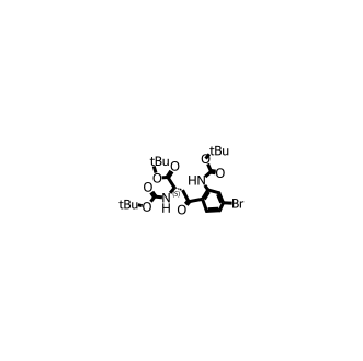 CC(C)(C)OC(=O)Nc1cc(Br)ccc1C(=O)C[C@H](NC(=O)OC(C)(C)C)C(=O)OC(C)(C)C